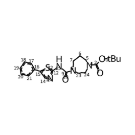 CC(C)(C)OC(=O)N1CCCN(C(=O)Nc2ncc(-c3ccccc3)s2)CC1